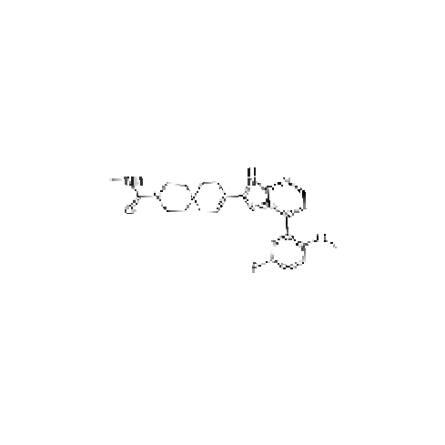 CNC(=O)N1CCC2(CC=C(c3cc4c(-c5cc(F)ccc5OC)ccnc4[nH]3)CC2)CC1